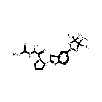 COC(=O)N[C@H](C(=O)N1CCC[C@H]1C1=Nc2ccc(B3OC(C)(C)C(C)(C)O3)cc2C1)C(C)C